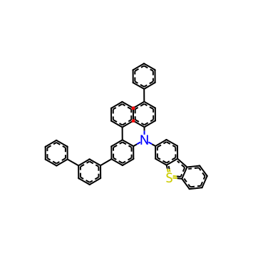 c1ccc(-c2ccc(N(c3ccc4c(c3)sc3ccccc34)c3ccc(-c4cccc(-c5ccccc5)c4)cc3-c3ccccc3)cc2)cc1